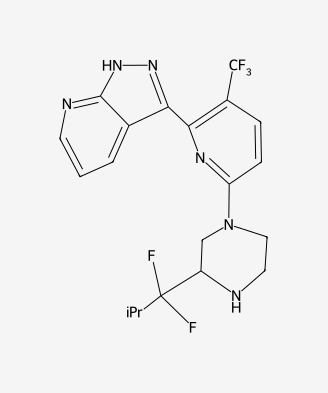 CC(C)C(F)(F)C1CN(c2ccc(C(F)(F)F)c(-c3n[nH]c4ncccc34)n2)CCN1